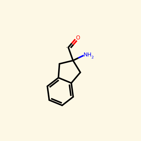 NC1([C]=O)Cc2ccccc2C1